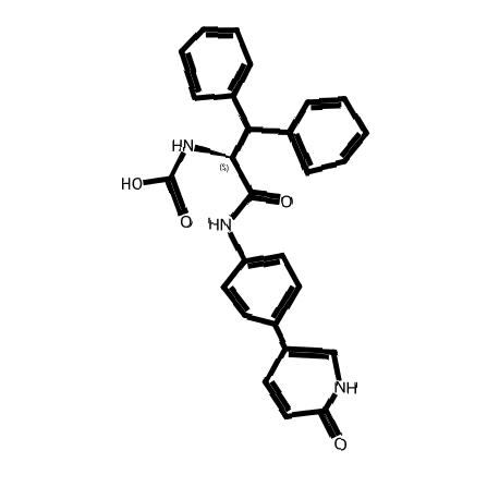 O=C(O)N[C@H](C(=O)Nc1ccc(-c2ccc(=O)[nH]c2)cc1)C(c1ccccc1)c1ccccc1